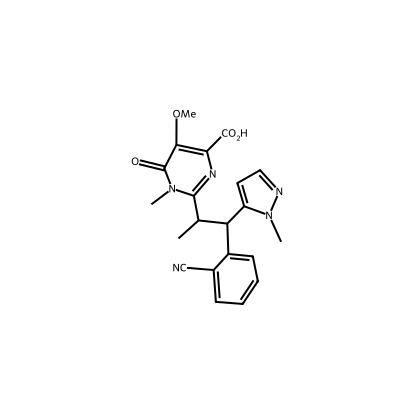 COc1c(C(=O)O)nc(C(C)C(c2ccccc2C#N)c2ccnn2C)n(C)c1=O